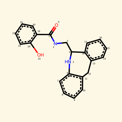 O=C([N]CC1Nc2ccccc2Cc2ccccc21)c1ccccc1O